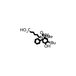 COC1=CC(C(C)(C)C)=C(O)CC1(c1ccccc1)N(CCCCCC(=O)O)C(N)=O